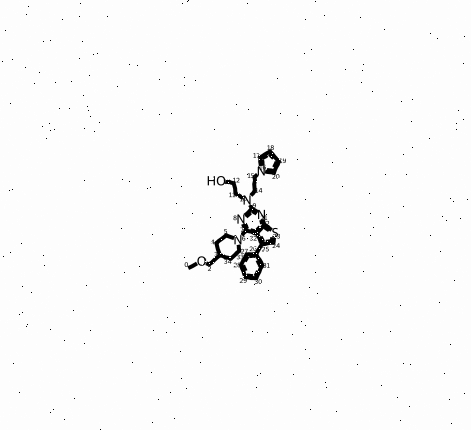 COCC1CCN(c2nc(N(CCO)CCn3cccc3)nc3scc(-c4ccccc4)c23)CC1